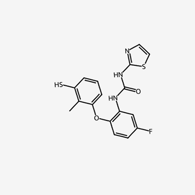 Cc1c(S)cccc1Oc1ccc(F)cc1NC(=O)Nc1nccs1